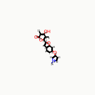 Cc1c(-c2cc3ccc(Oc4ccn(C)c4)cc3o2)oc(=O)c(C)c1O